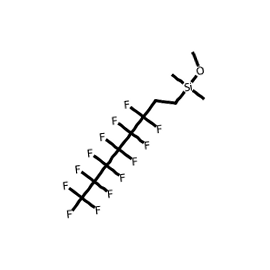 CO[Si](C)(C)CCC(F)(F)C(F)(F)C(F)(F)C(F)(F)C(F)(F)C(F)(F)F